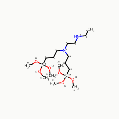 CCNCCN(CCC[Si](OC)(OC)OC)CCC[Si](OC)(OC)OC